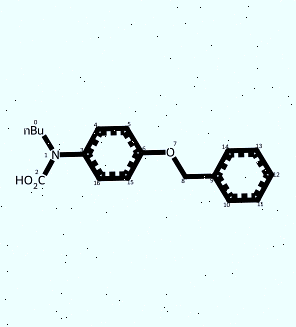 CCCCN(C(=O)O)c1ccc(OCc2ccccc2)cc1